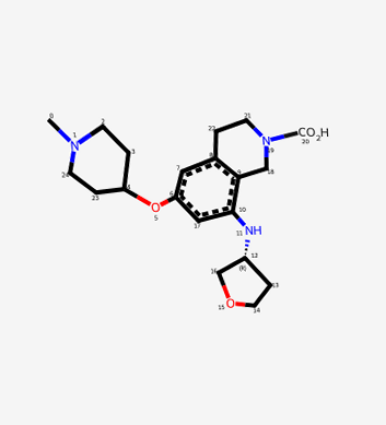 CN1CCC(Oc2cc3c(c(N[C@@H]4CCOC4)c2)CN(C(=O)O)CC3)CC1